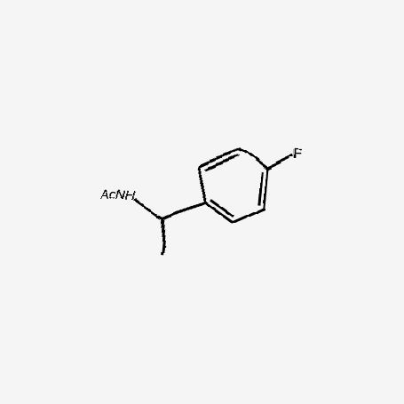 [CH2]C(=O)NC(C)c1ccc(F)cc1